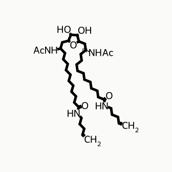 C=CCCCNC(=O)CCCCCCCCCCC(CC1OC(C[C@@H](CCCCCCCCCCC(=O)NCCCC=C)NC(C)=O)C(O)C1O)NC(C)=O